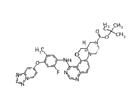 Cc1cc(Nc2ncnc3ccc4c(c23)OC[C@H]2CN(C(=O)OC(C)(C)C)CCN42)c(F)cc1Oc1ccn2ncnc2c1